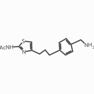 CC(=O)Nc1nc(CCCc2ccc(CN)cc2)cs1